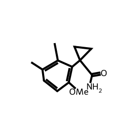 COc1ccc(C)c(C)c1C1(C(N)=O)CC1